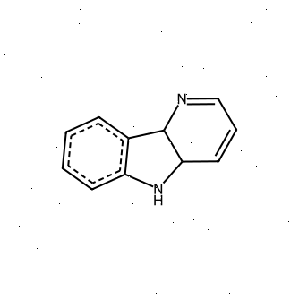 C1=CC2Nc3ccccc3C2N=C1